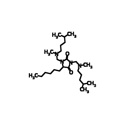 CCCCCCC1C(=O)N(CN(C)CCCC(C)C)C(=O)N1CN(C)CCCC(C)C